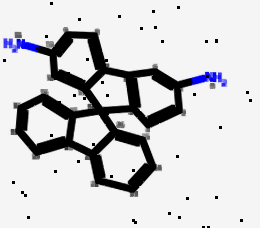 Nc1ccc2c(c1)-c1ccc(N)cc1C21c2ccccc2-c2ccccc21